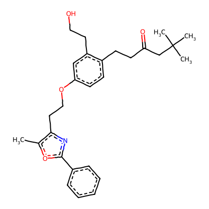 Cc1oc(-c2ccccc2)nc1CCOc1ccc(CCC(=O)CC(C)(C)C)c(CCO)c1